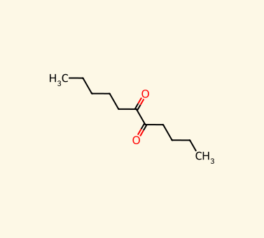 CCCCCC(=O)C(=O)CCCC